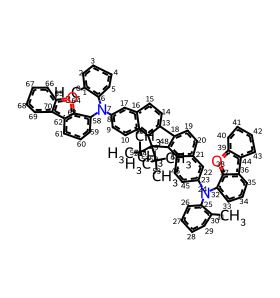 Cc1ccccc1N(c1ccc2c3c(ccc2c1)-c1ccc2cc(N(c4ccccc4C)c4cccc5c4oc4ccccc45)ccc2c1C3(C(C)(C)C)C(C)(C)C)c1cccc2c1oc1ccccc12